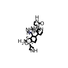 N/N=C(\NN)c1c(-c2ccnc(N3CCNC3=O)c2)ccc([S+]([O-])C2CNC2)c1SN